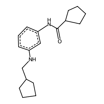 O=C(Nc1cccc(NCC2CCCC2)c1)C1CCCC1